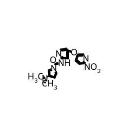 CN(C)[C@@H]1CCN(C(=O)Nc2cc(Oc3ccc([N+](=O)[O-])nc3)ccn2)C1